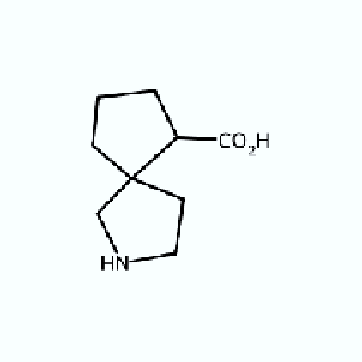 O=C(O)C1CCCC12CCNC2